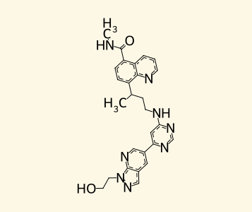 CNC(=O)c1ccc(C(C)CCNc2cc(-c3cnc4c(cnn4CCO)c3)ncn2)c2ncccc12